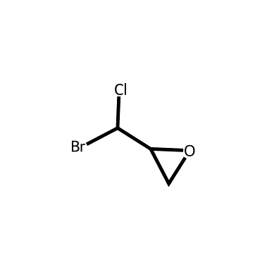 ClC(Br)C1CO1